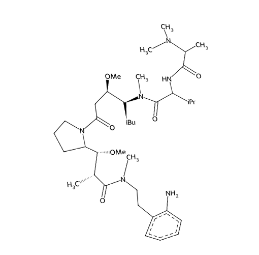 CC[C@H](C)[C@@H]([C@@H](CC(=O)N1CCCC1[C@H](OC)[C@@H](C)C(=O)N(C)CCc1ccccc1N)OC)N(C)C(=O)C(NC(=O)C(C)N(C)C)C(C)C